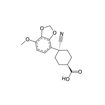 COc1ccc([C@]2(C#N)CC[C@H](C(=O)O)CC2)c2c1OCO2